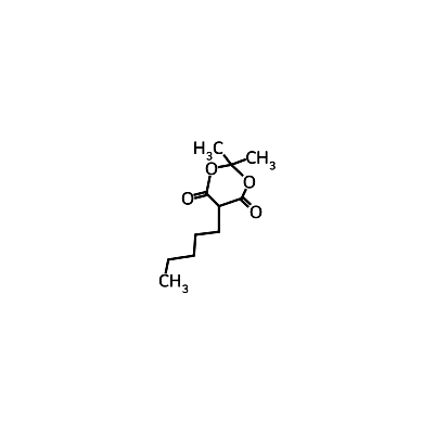 CCCCCC1C(=O)OC(C)(C)OC1=O